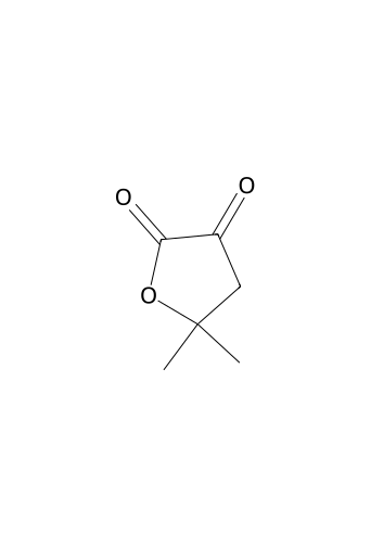 CC1(C)CC(=O)C(=O)O1